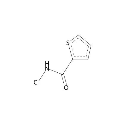 O=C(NCl)c1cccs1